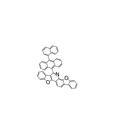 c1ccc2c(-c3c4ccccc4c(-c4nc5c(ccc6c7ccccc7oc65)c5oc6ccccc6c45)c4ccccc34)cccc2c1